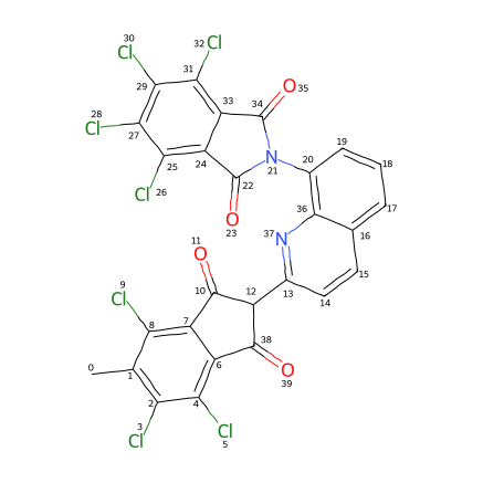 Cc1c(Cl)c(Cl)c2c(c1Cl)C(=O)C(c1ccc3cccc(N4C(=O)c5c(Cl)c(Cl)c(Cl)c(Cl)c5C4=O)c3n1)C2=O